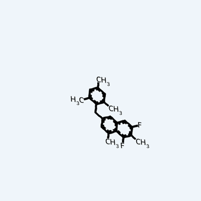 Cc1cc(C)c(Cc2cc(C)c3c(F)c(C)c(F)cc3c2)c(C)c1